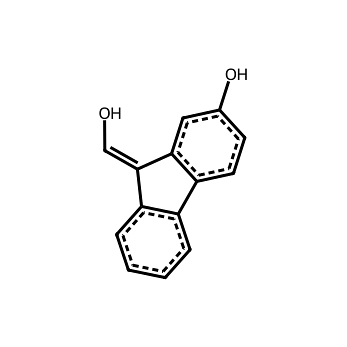 O/C=C1/c2ccccc2-c2ccc(O)cc21